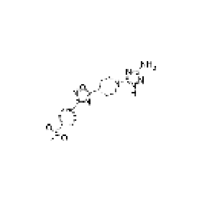 CS(=O)(=O)c1ccc(-c2noc(C3CCN(c4nc(N)n[nH]4)CC3)n2)cc1